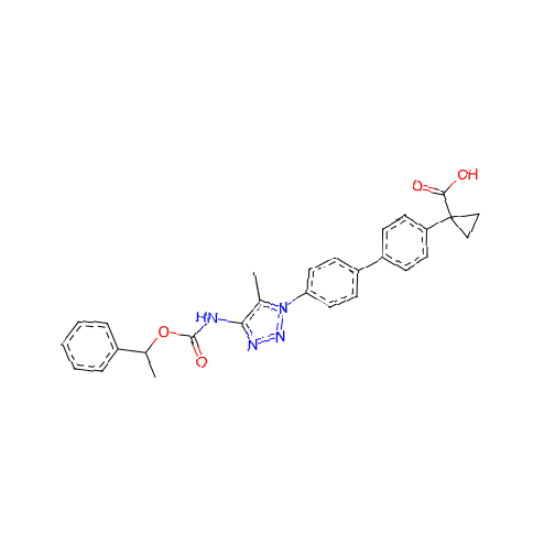 Cc1c(NC(=O)OC(C)c2ccccc2)nnn1-c1ccc(-c2ccc(C3(C(=O)O)CC3)cc2)cc1